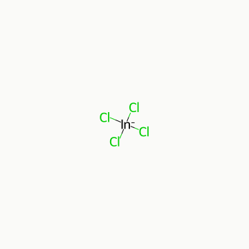 [Cl][In-]([Cl])([Cl])[Cl]